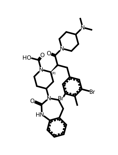 Cc1c(Br)cc(CC(C(=O)N2CCC(N(C)C)CC2)[C@H]2CC(N3CCc4ccccc4NC3=O)CCN2C(=O)O)cc1Br